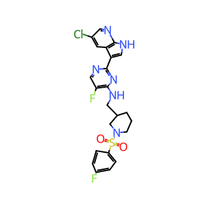 O=S(=O)(c1ccc(F)cc1)N1CCCC(CNc2nc(-c3c[nH]c4ncc(Cl)cc34)ncc2F)C1